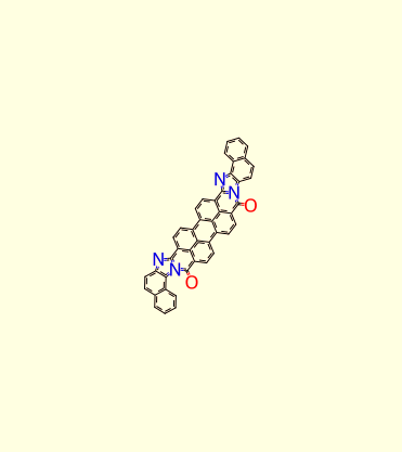 O=c1c2ccc3c4ccc5c(=O)n6c(nc7ccc8ccccc8c76)c6ccc(c7ccc(c2c37)c2nc3c7ccccc7ccc3n12)c4c56